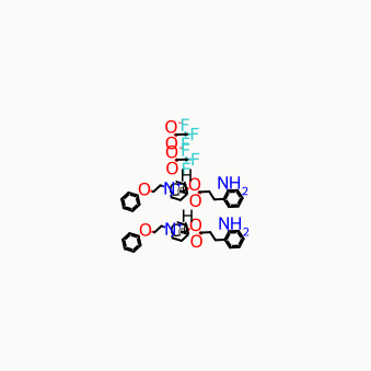 Nc1ccccc1CCC(=O)O[C@H]1C[N+]2(CCOc3ccccc3)CCC1CC2.Nc1ccccc1CCC(=O)O[C@H]1C[N+]2(CCOc3ccccc3)CCC1CC2.O=C([O-])C(F)(F)F.O=C([O-])C(F)(F)F